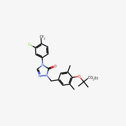 CCOC(=O)C(C)(C)Oc1c(C)cc(Cn2ncn(-c3ccc(C(F)(F)F)c(F)c3)c2=O)cc1C